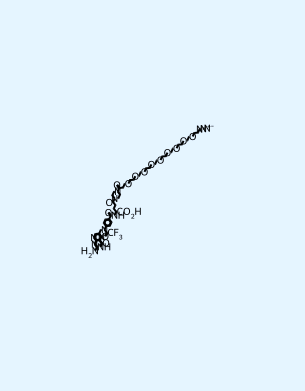 [N-]=[N+]=NCCOCCOCCOCCOCCOCCOCCOCCOCCOCCC(=O)N1CCN(C(=O)CCC(NC(=O)c2ccc(N(Cc3cnc4nc(N)[nH]c(=O)c4n3)C(=O)C(F)(F)F)cc2)C(=O)O)CC1